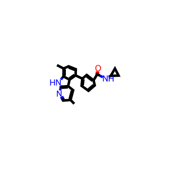 Cc1cnc2[nH]c3c(C)ccc(-c4cccc(C(=O)NC5CC5)c4)c3c2c1